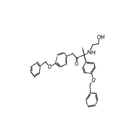 CC(NCCO)(C(=O)Cc1ccc(OCc2ccccc2)cc1)c1ccc(OCc2ccccc2)cc1